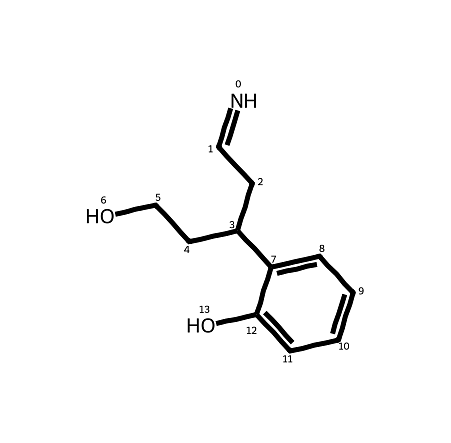 N=CCC(CCO)c1ccccc1O